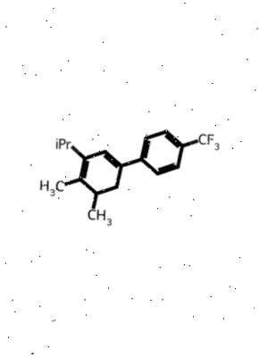 CC1=C(C(C)C)C=C(c2ccc(C(F)(F)F)cc2)CC1C